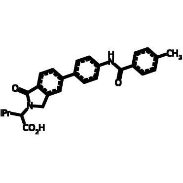 Cc1ccc(C(=O)Nc2ccc(-c3ccc4c(c3)CN(C(C(=O)O)C(C)C)C4=O)cc2)cc1